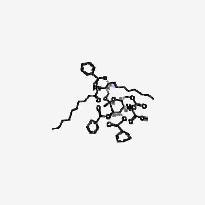 CCCCCC/C=C/[C@@H](OC(=O)c1ccccc1)[C@H](CO[C@]1(C)O[C@H](COC(=O)O)[C@H](OC(=O)O)[C@H](OC(=O)c2ccccc2)[C@H]1OC(=O)c1ccccc1)NC(=O)CCCCCCCCC